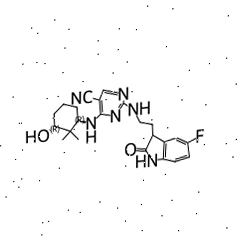 CC1(C)[C@H](O)CCC[C@H]1Nc1nc(NCCC2C(=O)Nc3ccc(F)cc32)ncc1C#N